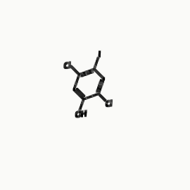 Oc1cc(Cl)c(I)cc1Cl